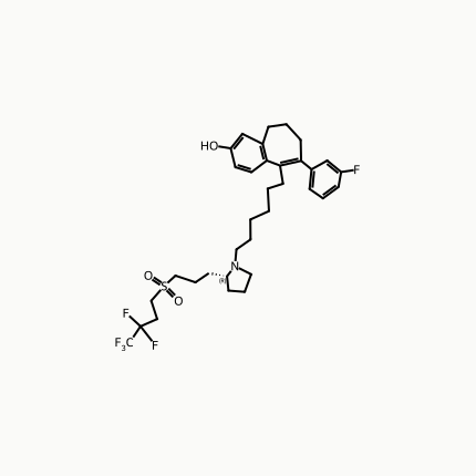 O=S(=O)(CCC[C@H]1CCCN1CCCCCCC1=C(c2cccc(F)c2)CCCc2cc(O)ccc21)CCC(F)(F)C(F)(F)F